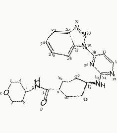 O=C(NC1CCOCC1)[C@H]1CC[C@H](Nc2nccc(-n3nnc4ccccc43)n2)CC1